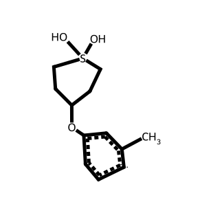 Cc1[c]ccc(OC2CCS(O)(O)CC2)c1